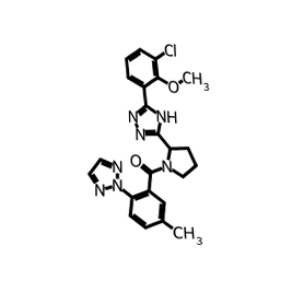 COc1c(Cl)cccc1-c1nnc(C2CCCN2C(=O)c2cc(C)ccc2-n2nccn2)[nH]1